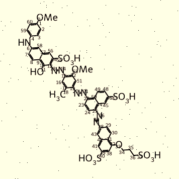 COc1ccc(Nc2ccc3c(O)c(N=Nc4cc(C)c(N=Nc5ccc(N=Nc6ccc7c(OCCCS(=O)(=O)O)cc(S(=O)(=O)O)cc7c6)c6cc(S(=O)(=O)O)ccc56)cc4OC)c(S(=O)(=O)O)cc3c2)cc1